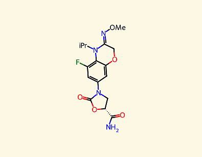 CON=C1COc2cc(N3C[C@H](C(N)=O)OC3=O)cc(F)c2N1C(C)C